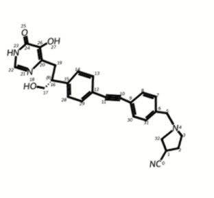 N#CC1CCN(Cc2ccc(C#Cc3ccc([C@H](CO)Cc4nc[nH]c(=O)c4O)cc3)cc2)C1